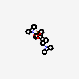 c1cc2c3c(c1)sc1cccc(c13)C13c4ccc(-n5c6ccccc6c6ccccc65)c5cccc(c45)C21c1cccc2c(-n4c5ccccc5c5ccccc54)ccc3c12